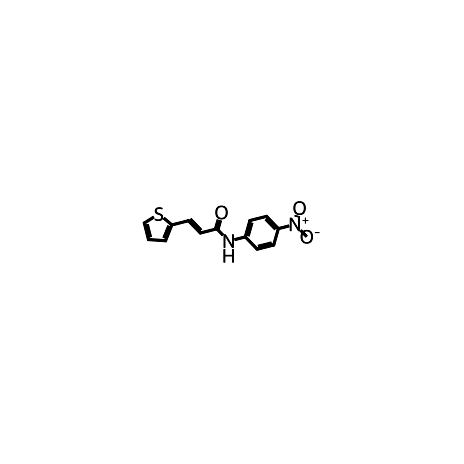 O=C(C=Cc1cccs1)Nc1ccc([N+](=O)[O-])cc1